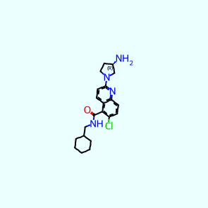 N[C@@H]1CCN(c2ccc3c(C(=O)NCC4CCCCC4)c(Cl)ccc3n2)C1